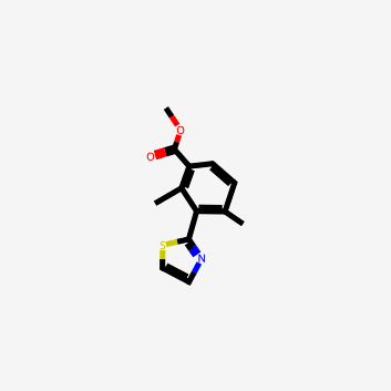 COC(=O)c1ccc(C)c(-c2nccs2)c1C